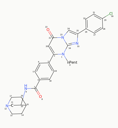 CCCCCn1c(-c2ccc(C(=O)NC3CN4CCC3CC4)cc2)cc(=O)n2cc(-c3ccc(Cl)cc3)nc12